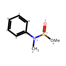 COS(=O)N(C)c1ccccc1